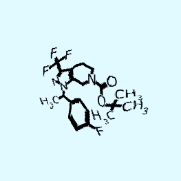 CC(c1ccc(F)cc1)n1nc(C(F)(F)F)c2c1CN(C(=O)OC(C)(C)C)CC2